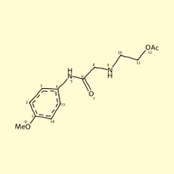 COc1ccc(NC(=O)CNCCOC(C)=O)cc1